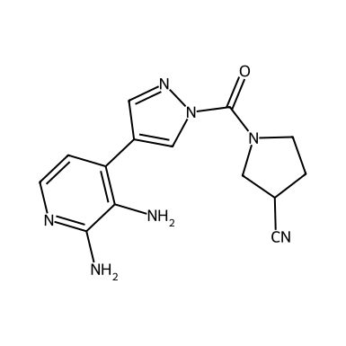 N#CC1CCN(C(=O)n2cc(-c3ccnc(N)c3N)cn2)C1